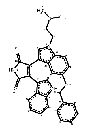 CN(C)CCn1cc(C2=C(c3c[nH]c4ccccc34)C(=O)NC2=O)c2cc(OCc3ccccc3)ccc21